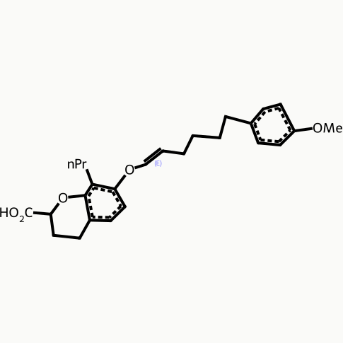 CCCc1c(O/C=C/CCCCc2ccc(OC)cc2)ccc2c1OC(C(=O)O)CC2